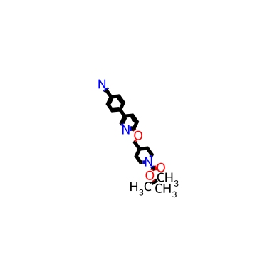 CC(C)(C)OC(=O)N1CCC(COc2ccc(-c3ccc(C#N)cc3)cn2)CC1